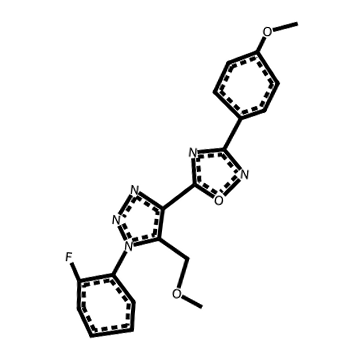 COCc1c(-c2nc(-c3ccc(OC)cc3)no2)nnn1-c1ccccc1F